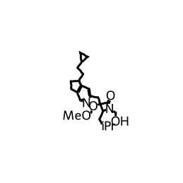 COCOC1(Cc2cc3c(cn2)CCC3CCC2CC2)C(=O)N(CO)C1CC(C)C